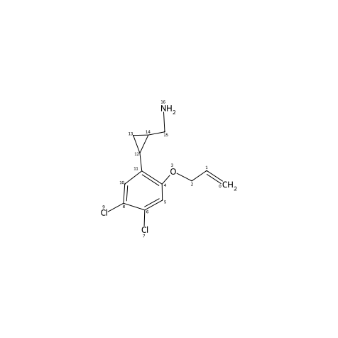 C=CCOc1cc(Cl)c(Cl)cc1C1CC1CN